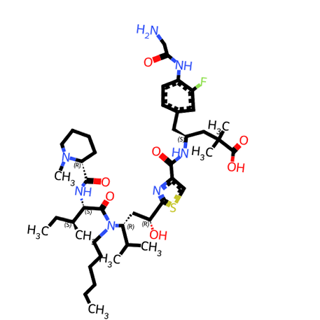 CCCCCCN(C(=O)[C@@H](NC(=O)[C@H]1CCCCN1C)[C@@H](C)CC)[C@H](C[C@@H](O)c1nc(C(=O)N[C@@H](Cc2ccc(NC(=O)CN)c(F)c2)CC(C)(C)C(=O)O)cs1)C(C)C